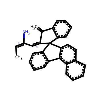 C=C1/C(=C\C(N)=C/C)C2(c3ccccc31)c1ccccc1-c1c2ccc2ccccc12